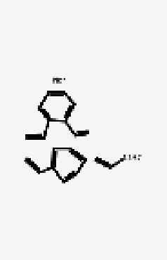 C=CC(=O)[O-].C=Cc1ccccc1.C=Cc1ccccc1C=C.[Na+]